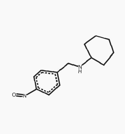 O=Nc1ccc(CNC2CCCCC2)cc1